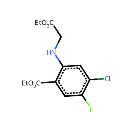 CCOC(=O)CNc1cc(Cl)c(F)cc1C(=O)OCC